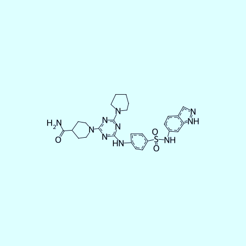 NC(=O)C1CCN(c2nc(Nc3ccc(S(=O)(=O)Nc4ccc5cn[nH]c5c4)cc3)nc(N3CCCCC3)n2)CC1